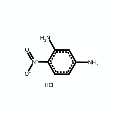 Cl.Nc1ccc([N+](=O)[O-])c(N)c1